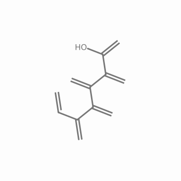 C=CC(=C)C(=C)C(=C)C(=C)C(=C)O